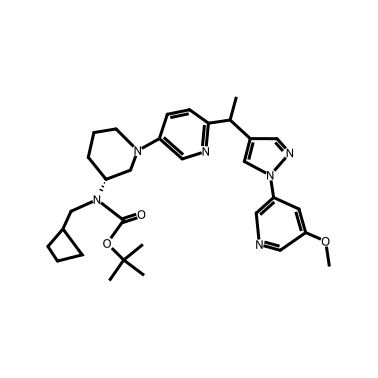 COc1cncc(-n2cc(C(C)c3ccc(N4CCC[C@@H](N(CC5CCC5)C(=O)OC(C)(C)C)C4)cn3)cn2)c1